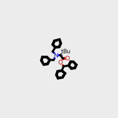 CC(C)(C)[C@@H](C(=O)OC(c1ccccc1)c1ccccc1)N(Cc1ccccc1)Cc1ccccc1